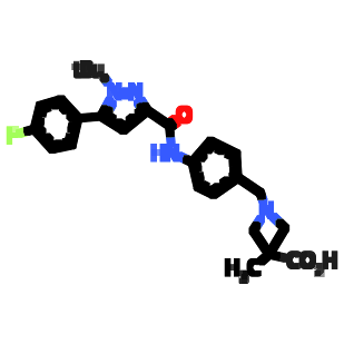 CC1(C(=O)O)CN(Cc2ccc(NC(=O)c3cc(-c4ccc(F)cc4)n(C(C)(C)C)n3)cc2)C1